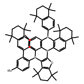 Cc1cc2c3c(c1)N(c1ccc(C(C)(C)C)cc1-c1ccc4c(c1)C(C)(C)CCC4(C)C)c1c(oc4c1C(C)(C)CCC4(C)C)B3c1ccc3c(c1N2c1ccc2c(c1)C(C)(C)CCC2(C)C)C(C)(C)CCC3(C)C